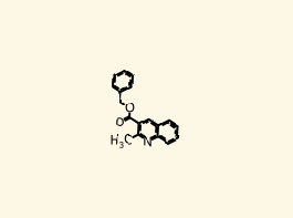 Cc1nc2ccccc2cc1C(=O)OCc1ccccc1